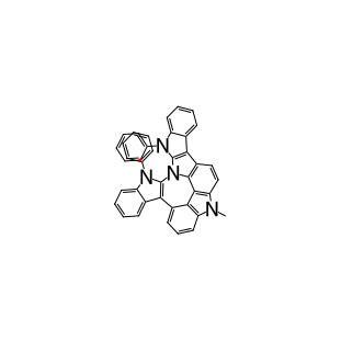 Cn1c2cccc3c2c2c1ccc1c4c5ccccc5n(-c5ccccc5)c4n(c12)c1c3c2ccccc2n1-c1ccccc1